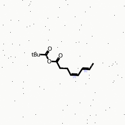 C/C=C/C=C\CCC(=O)OC(=O)C(C)(C)C